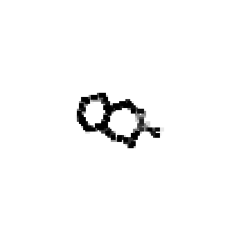 [O-][o+]1occ2ccccc2cs1